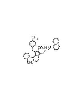 Cc1ccc(Cn2c(C(=O)O)c(CCCOc3cccc4ccccc34)c3cccc(-c4ccccc4C)c32)cc1